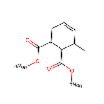 CCCCCCCCCOC(=O)C1CC=CC(C)C1C(=O)OCCCCCCCCC